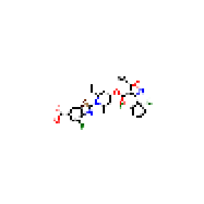 CC[C@H]1C[C@@H](OC(=O)c2c(-c3c(Cl)cccc3Cl)noc2C2CC2)C[C@@H](C)N1c1nc2c(F)cc(C(=O)OC)cc2s1